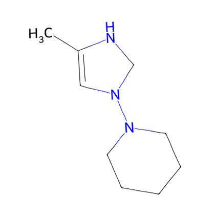 CC1=CN(N2CCCCC2)CN1